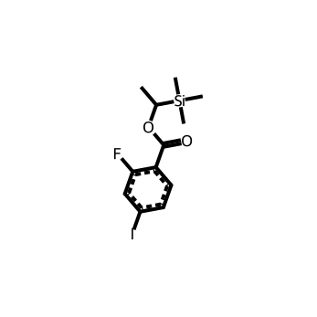 CC(OC(=O)c1ccc(I)cc1F)[Si](C)(C)C